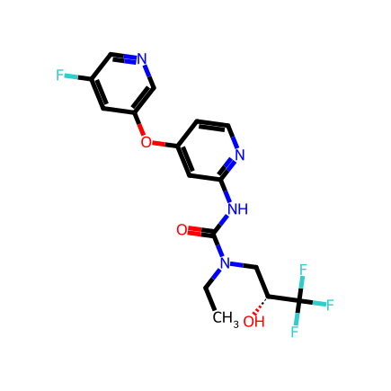 CCN(C[C@@H](O)C(F)(F)F)C(=O)Nc1cc(Oc2cncc(F)c2)ccn1